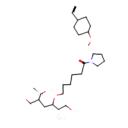 C=CC1CCC(OC[C@@H]2CCCN2C(=O)CCCCCOC(CC(CO)[C@@H](C)O)[C@H](CO)NC(C)=O)CC1